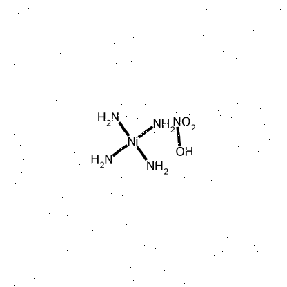 O=[N+]([O-])O.[NH2][Ni]([NH2])([NH2])[NH2]